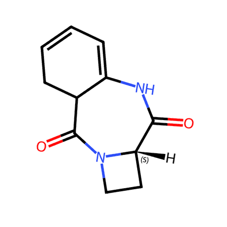 O=C1NC2=CC=CCC2C(=O)N2CC[C@@H]12